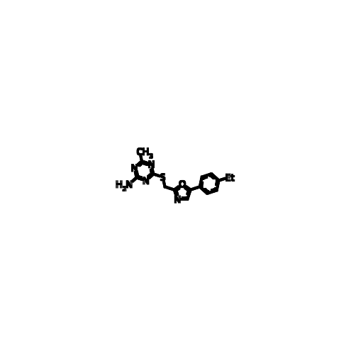 CCc1ccc(-c2cnc(CSc3nc(C)nc(N)n3)o2)cc1